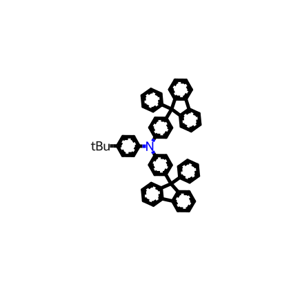 CC(C)(C)c1ccc(N(c2ccc(C3(c4ccccc4)c4ccccc4-c4ccccc43)cc2)c2ccc(C3(c4ccccc4)c4ccccc4-c4ccccc43)cc2)cc1